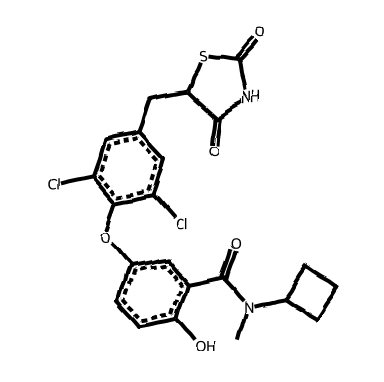 CN(C(=O)c1cc(Oc2c(Cl)cc(CC3SC(=O)NC3=O)cc2Cl)ccc1O)C1CCC1